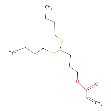 C=CC(=O)OCCCC(SCCCC)SCCCC